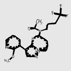 COc1ncccc1-c1cnn2ccc(N(CCCC(F)(F)F)C(C)=O)nc12